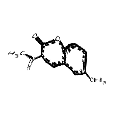 CNc1cc2cc(C)ccc2oc1=O